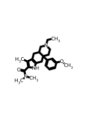 CCN1CCC2(c3cccc(OC)c3)Cc3[nH]c(C(=O)N(C)C)c(C)c3CC2C1